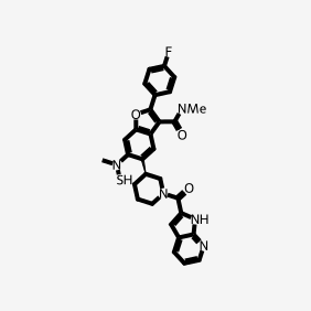 CNC(=O)c1c(-c2ccc(F)cc2)oc2cc(N(C)S)c([C@@H]3CCCN(C(=O)c4cc5cccnc5[nH]4)C3)cc12